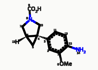 COc1cc([C@]23C[C@H]2CN(C(=O)O)C3)ccc1N